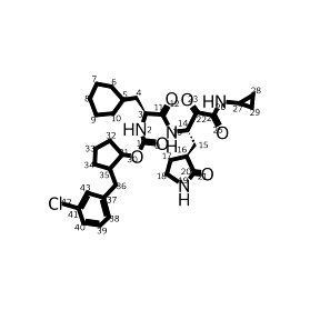 O=C(N[C@@H](CC1CCCCC1)C(=O)N[C@@H](C[C@@H]1CCNC1=O)C(=O)C(=O)NC1CC1)OC1CCCC1Cc1cccc(Cl)c1